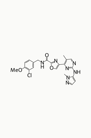 COc1ccc(CNC(=O)c2nc(-c3nc(Nc4ccnn4C)ncc3C)co2)cc1Cl